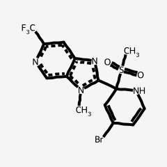 Cn1c(C2(S(C)(=O)=O)C=C(Br)C=CN2)nc2cc(C(F)(F)F)ncc21